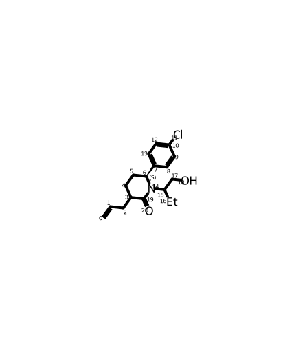 C=CCC1CC[C@@H](c2ccc(Cl)cc2)N(C(CC)CO)C1=O